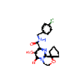 O=C(NCc1ccc(Cl)cc1)c1nc2n(c(=O)c1O)CCOC21CCCC1